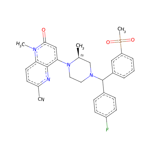 C[C@H]1CN(C(c2ccc(F)cc2)c2cccc(S(C)(=O)=O)c2)CCN1c1cc(=O)n(C)c2ccc(C#N)nc12